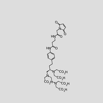 O=C(O)CN(CCN(CC(=O)O)C[C@@H](CCc1ccc(NC(=O)CCNC(=O)CN2C(=O)C=CC2=O)cc1)N(CC(=O)O)CC(=O)O)CC(=O)O